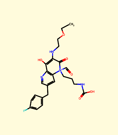 CCOCCNC1=C(O)c2ncc(Cc3ccc(F)cc3)cc2[N+](C=O)(CCCNC(=O)O)C1=O